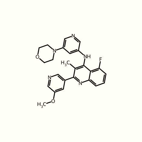 COc1cncc(-c2nc3cccc(F)c3c(Nc3cncc(N4CCOCC4)c3)c2C)c1